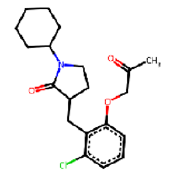 CC(=O)COc1cccc(Cl)c1CC1CCN(C2CCCCC2)C1=O